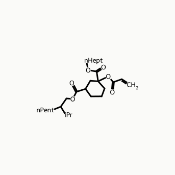 C=CC(=O)OC1(C(=O)OCCCCCCC)CCCC(C(=O)OCC(CCCCC)C(C)C)C1